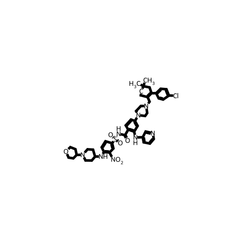 CC1(C)CCC(CN2CCN(c3ccc(C(=O)NS(=O)(=O)c4ccc(NC5CCN(C6CCOCC6)CC5)c([N+](=O)[O-])c4)c(Nc4cccnc4)c3)CC2)=C(c2ccc(Cl)cc2)C1